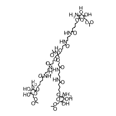 CC(=O)NC(COCCC(=O)NCCCNC(=O)CCCCO[C@@H]1OC(COC(C)=O)[C@H](O)C(O)[C@@H]1N)(COCCC(=O)NCCCNC(=O)CCCCO[C@@H]1OC(COC(C)=O)[C@H](O)C(O)[C@@H]1N)COCCC(=O)NCCCNC(=O)CCCCO[C@@H]1OC(COC(C)=O)[C@H](O)C(O)[C@@H]1N